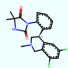 CN1Cc2c(Cl)cc(Cl)cc2[C@H](c2ccccc2N2C(=O)NC(C)(C)C2=O)C1